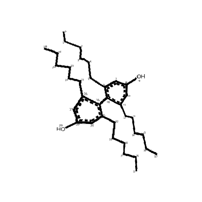 CCCCCCc1cc(O)cc(CCCCCC)c1-c1c(CCCCCC)cc(O)cc1CCCCCC